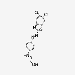 CN(CCO)c1ccc(N=Nc2nc3cc(Cl)c(Cl)cc3s2)cc1